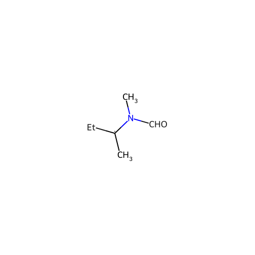 CC[C](C)N(C)C=O